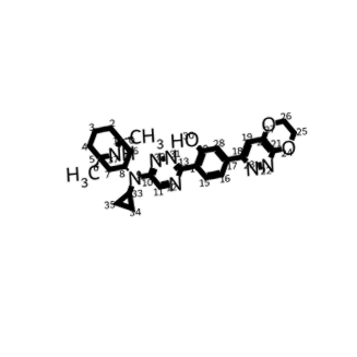 C[C@]12CCC[C@](C)(C[C@@H](N(c3cnc(-c4ccc(-c5cc6c(nn5)OCCO6)cc4O)nn3)C3CC3)C1)N2